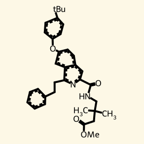 COC(=O)CC(C)(C)CNC(=O)c1cc2ccc(Oc3ccc(C(C)(C)C)cc3)cc2c(CCc2ccccc2)n1